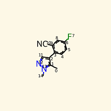 Cc1c(-c2ccc(F)cc2C#N)cnn1C